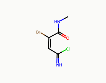 CNC(=O)/C(Br)=C\C(=N)Cl